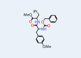 COC(=O)C(CC(C)C)NC(=O)C(Cc1ccc(OC)cc1)NC(=O)OCc1ccccc1